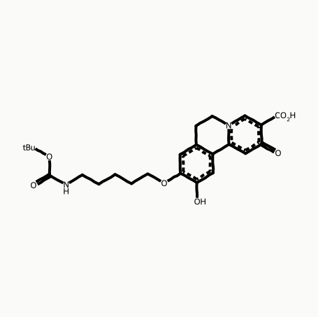 CC(C)(C)OC(=O)NCCCCCOc1cc2c(cc1O)-c1cc(=O)c(C(=O)O)cn1CC2